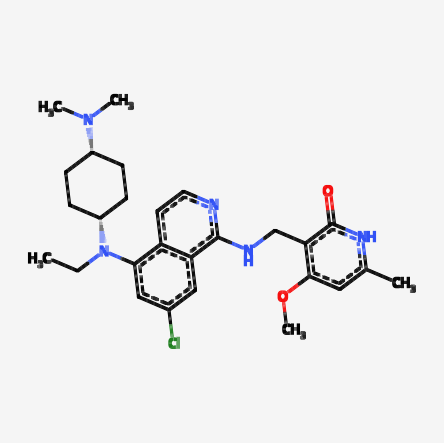 CCN(c1cc(Cl)cc2c(NCc3c(OC)cc(C)[nH]c3=O)nccc12)[C@H]1CC[C@@H](N(C)C)CC1